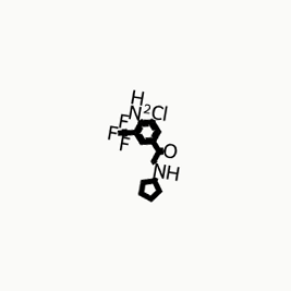 Nc1c(Cl)cc(C(=O)CNC2CCCC2)cc1C(F)(F)F